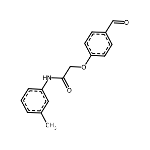 Cc1cccc(NC(=O)COc2ccc(C=O)cc2)c1